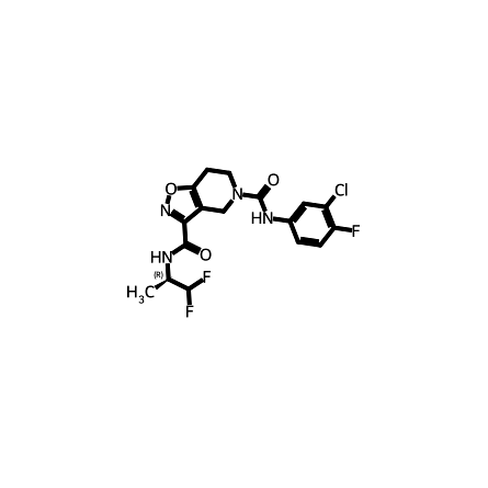 C[C@@H](NC(=O)c1noc2c1CN(C(=O)Nc1ccc(F)c(Cl)c1)CC2)C(F)F